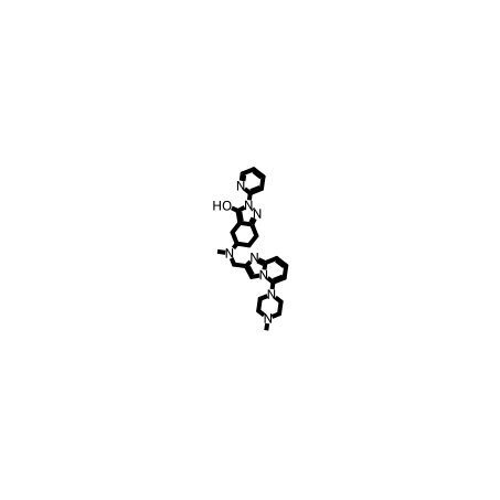 CN1CCN(c2cccc3nc(CN(C)C4CCc5nn(-c6ccccn6)c(O)c5C4)cn23)CC1